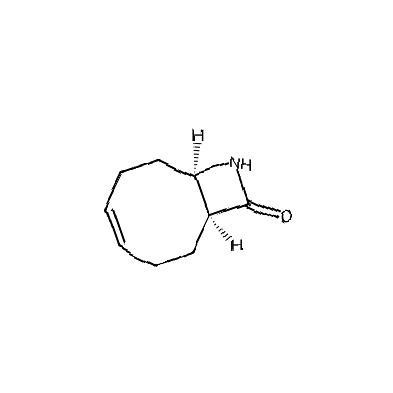 O=C1N[C@@H]2CC/C=C\CC[C@H]12